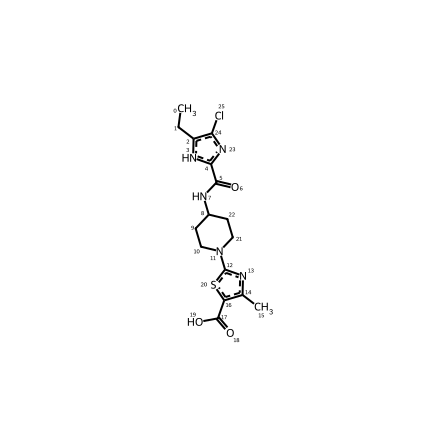 CCc1[nH]c(C(=O)NC2CCN(c3nc(C)c(C(=O)O)s3)CC2)nc1Cl